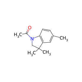 CC(=O)N1CC(C)(C)c2cc(C)ccc21